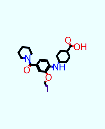 O=C(O)C1CCC(Nc2ccc(C(=O)N3CCCCC3)cc2OCI)CC1